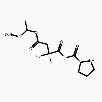 CC(OC(=O)C[C@](C)(S)C(=O)OC(=O)[C@@H]1CCCN1)O[N+](=O)[O-]